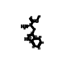 C=C(OC)[C@@H](N)Cc1c[nH]c2ccccc12